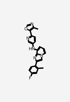 Cc1cc(F)ccc1-c1cn2cccc(Nc3ccc(-c4ocnc4C)nc3)c2n1